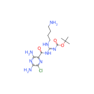 CC(C)(C)OC(=O)/N=C(\NCCCCN)NC(=O)c1nc(Cl)c(N)nc1N